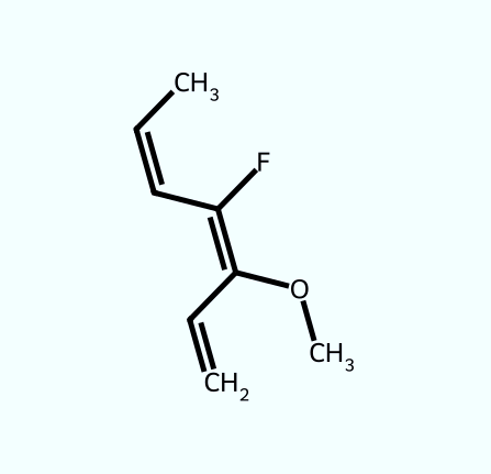 C=C/C(OC)=C(F)\C=C/C